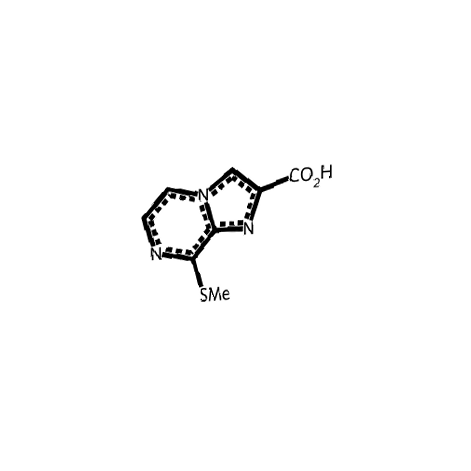 CSc1nccn2cc(C(=O)O)nc12